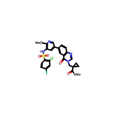 CNC(=O)C1(Cn2cnc3ccc(-c4cnc(OC)c(NS(=O)(=O)c5ccc(F)cc5Cl)c4)cc3c2=O)CC1